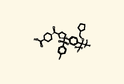 O=C(O)[C@H]1CC[C@H](C(=O)N2CC[C@](c3ccc(C(OCC4CCCC4)(C(F)(F)F)C(F)(F)F)cc3)(S(=O)(=O)c3ccc(F)cc3)C2)CC1